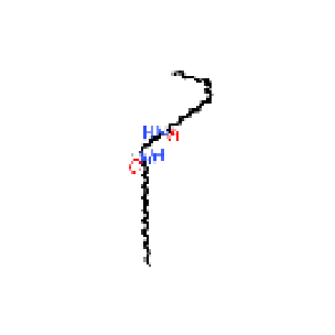 CCCCC/C=C\C/C=C\CCCCCCCC(=O)NCCCC[C@@H](C)NC(=O)CCCCCCCCCCCCCCCCC